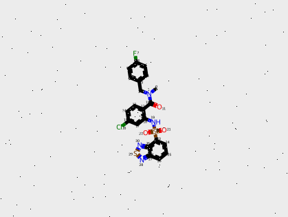 CN(Cc1ccc(F)cc1)C(=O)c1ccc(Cl)cc1NS(=O)(=O)c1cccc2nsnc12